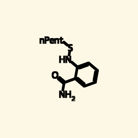 CCCCCSNc1ccccc1C(N)=O